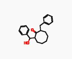 O=C1C(Cc2ccccc2)CCCCCC1C(O)c1ccccc1